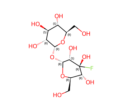 OC[C@H]1O[C@H](O[C@H]2O[C@H](CO)[C@@H](O)[C@@](O)(F)[C@H]2O)[C@H](O)[C@@H](O)[C@@H]1O